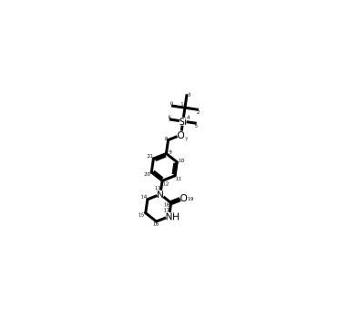 CC(C)(C)[Si](C)(C)OCc1ccc(N2CCCNC2=O)cc1